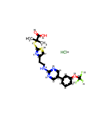 CC(C)(Sc1nc(CCNc2ncc(-c3cccc(OC(F)(F)F)c3)cn2)cs1)C(=O)O.Cl